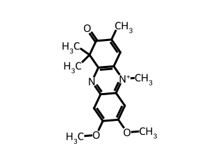 COc1cc2nc3c([n+](C)c2cc1OC)C=C(C)C(=O)C3(C)C